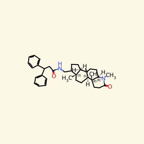 CN1C(=O)CC[C@]2(C)[C@H]3CC[C@]4(C)C(CNC(=O)CC(c5ccccc5)c5ccccc5)CC[C@H]4[C@@H]3CC[C@@H]12